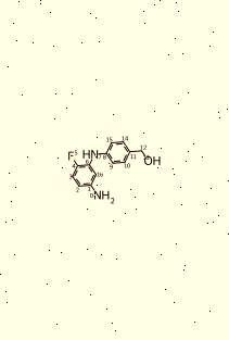 Nc1ccc(F)c(Nc2[c]cc(CO)cc2)c1